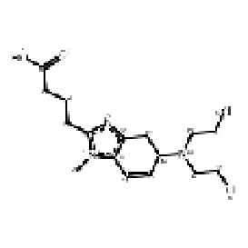 Cn1c(CCCC(=O)O)nc2c1C=CC(N(CCCl)CCCl)C2